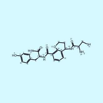 NC(=O)[C@H](Cc1ccc(O)cc1)NC(=O)c1cccc2c1OCCC2NC(=O)C(N)CS